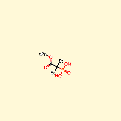 CCCOC(=O)C(CC)(CC)P(=O)(O)O